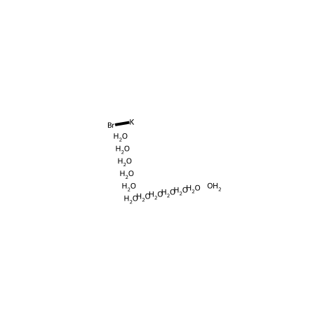 O.O.O.O.O.O.O.O.O.O.O.O.[K][Br]